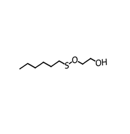 CCCCCCSOCCO